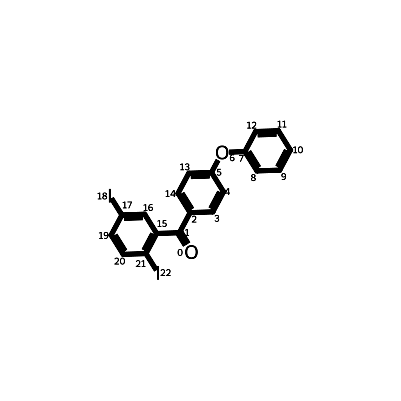 O=C(c1ccc(Oc2ccccc2)cc1)c1cc(I)ccc1I